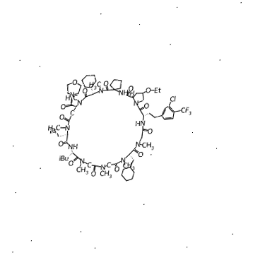 CCO[C@@H]1C[C@H]2C(=O)NC3(CCCC3)C(=O)N(C)[C@@H](C3CCCCC3)C(=O)N(C)[C@H](C(=O)N3CCOCC3)CC(=O)N(C)[C@@H](CC(C)C)C(=O)N[C@@H]([C@@H](C)CC)C(=O)N(C)CC(=O)N(C)CC(=O)N(C)[C@@H](CC3CCCCC3)C(=O)N(C)CC(=O)N[C@@H](CCc3ccc(C(F)(F)F)c(Cl)c3)C(=O)N2C1